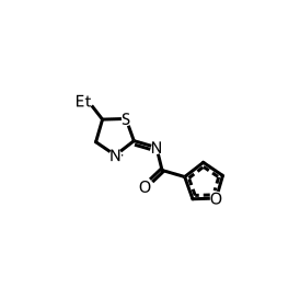 CCC1C[N]C(=NC(=O)c2ccoc2)S1